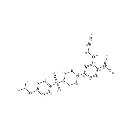 CC(C)Oc1ccc(S(=O)(=O)N2CCN(c3ccc([N+](=O)[O-])c(OCC#N)c3)CC2)cc1